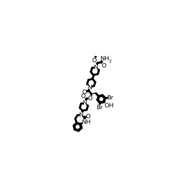 COC(C(N)=O)N1CCC(C2CCN(C(=O)[C@@H](Cc3cc(Br)c(O)c(Br)c3)OC(=O)N3CCC(N4CCc5ccccc5NC4=O)CC3)CC2)CC1